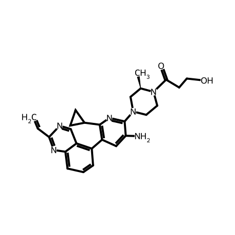 C=Cc1ncc2c(-c3cc(N)c(N4CCN(C(=O)CCO)[C@H](C)C4)nc3C3CC3)cccc2n1